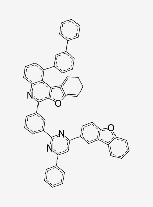 C1=c2oc3c(-c4cccc(-c5nc(-c6ccccc6)cc(-c6ccc7oc8ccccc8c7c6)n5)c4)nc4cccc(-c5cccc(-c6ccccc6)c5)c4c3c2=CCC1